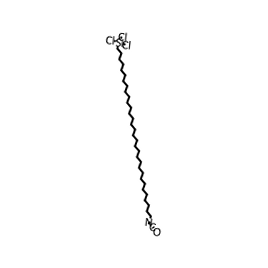 O=C=NCCCCCCCCCCCCCCCCCCCCCCCCCCCCCCCC[Si](Cl)(Cl)Cl